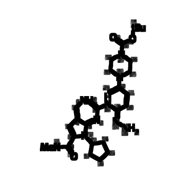 C=C(/N=C1\C(=C/N)C=C(C(=O)NC)N1C1CCCC1)NC(/C=C\C(=C)N1CCN(C(=O)OC(C)(C)C)CC1)=N/N